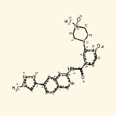 Cn1cc(-c2ccc3cnc(NC(=O)c4cc[n+]([O-])c(N5CC[N+](C)([O-])CC5)c4)cc3c2)nn1